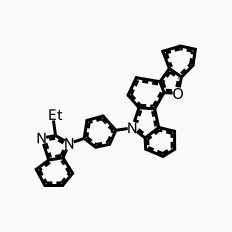 CCc1nc2ccccc2n1-c1ccc(-n2c3ccccc3c3c4oc5ccccc5c4ccc32)cc1